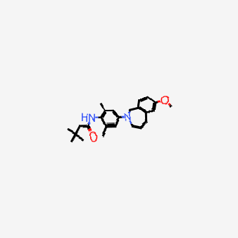 COc1ccc2c(c1)CCCN(c1cc(C)c(NC(=O)CC(C)(C)C)c(C)c1)C2